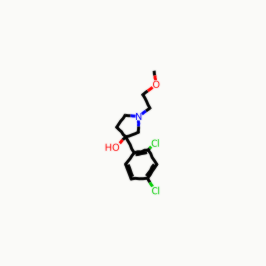 COCCN1CCC(O)(c2ccc(Cl)cc2Cl)C1